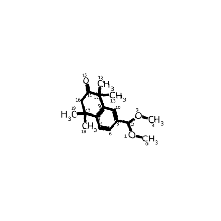 COC(OC)c1ccc2c(c1)C(C)(C)C(=O)CC2(C)C